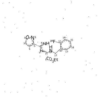 CCOC(=O)/C(=N/C(=N)c1ccon1)NCc1ccccc1F